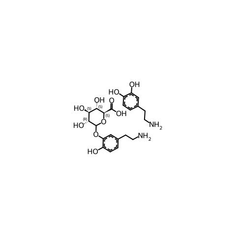 NCCc1ccc(O)c(O)c1.NCCc1ccc(O)c(OC2O[C@H](C(=O)O)[C@@H](O)[C@H](O)[C@H]2O)c1